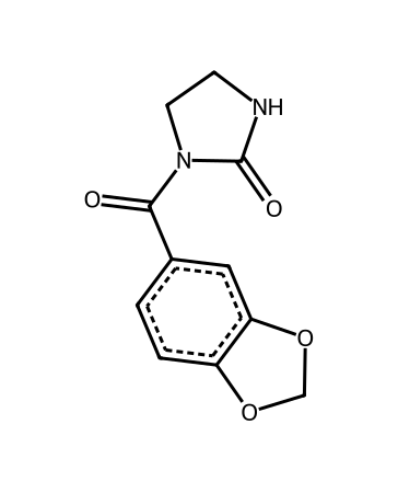 O=C1NCCN1C(=O)c1ccc2c(c1)OCO2